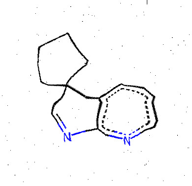 C1=Nc2ncccc2C12CCCC2